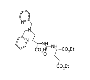 CCOC(=O)CC[C@H](NC(=O)N[C@@H](CCN(Cc1ccccn1)Cc1ccccn1)C(=O)O)C(=O)OCC